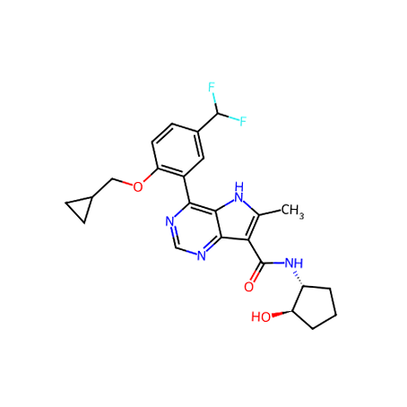 Cc1[nH]c2c(-c3cc(C(F)F)ccc3OCC3CC3)ncnc2c1C(=O)N[C@@H]1CCC[C@H]1O